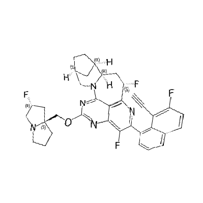 C#Cc1c(F)ccc2cccc(-c3nc4c5c(nc(OC[C@@]67CCCN6C[C@H](F)C7)nc5c3F)N3C[C@H]5CC[C@H](C5)[C@H]3C[C@@H]4F)c12